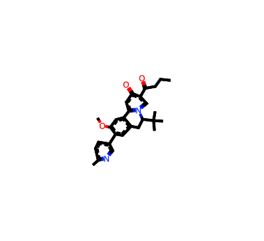 CCCC(=O)c1cn2c(cc1=O)-c1cc(OC)c(-c3ccc(C)nc3)cc1CC2C(C)(C)C